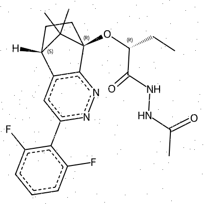 CC[C@@H](O[C@@]12CC[C@@H](c3cc(-c4c(F)cccc4F)nnc31)C2(C)C)C(=O)NNC(C)=O